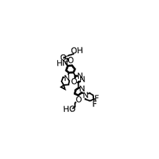 O=S(=O)(CCO)Nc1ccc(-c2nnc(-c3ccc(OCCO)c(N4CCC(F)(F)CC4)n3)o2)c(N2CCC3(CC2)CC3)c1